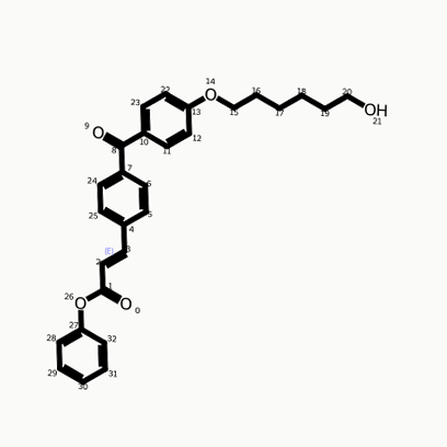 O=C(/C=C/c1ccc(C(=O)c2ccc(OCCCCCCO)cc2)cc1)Oc1ccccc1